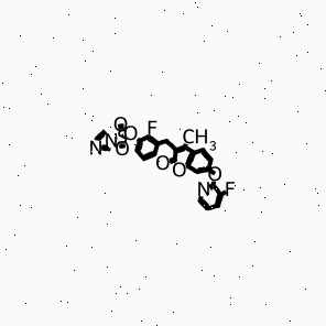 Cc1c(Cc2cccc(OS(=O)(=O)n3ccnc3)c2F)c(=O)oc2cc(Oc3ncccc3F)ccc12